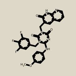 COc1ccc(Nc2nc(=O)n(Cc3cc4cccnc4[nH]c3=O)c(=O)n2Cc2cc(F)c(F)c(F)c2)cc1